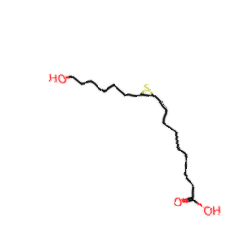 O=C(O)CCCCCCCC1SC1CCCCCCO